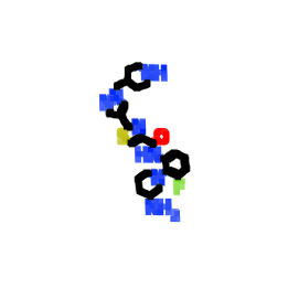 NC1CCCN(c2c(F)cccc2NC(=O)c2csc(-c3cnn(CC4CCNCC4)c3)n2)C1